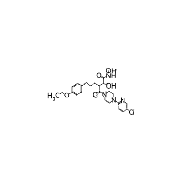 CCOc1ccc(CCCC(C(=O)N2CCN(c3ccc(Cl)cn3)CC2)[C@H](O)C(=O)NO)cc1